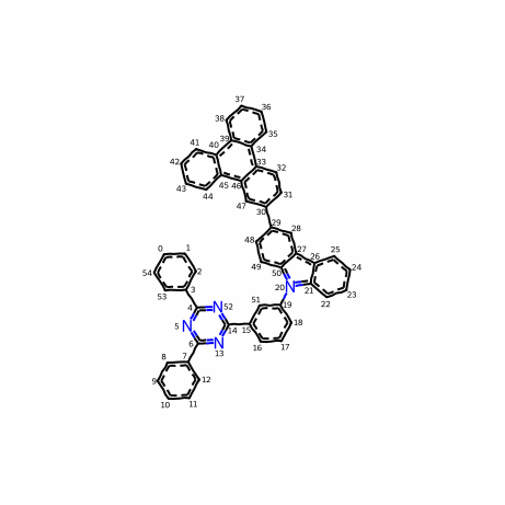 c1ccc(-c2nc(-c3ccccc3)nc(-c3cccc(-n4c5ccccc5c5cc(-c6ccc7c8ccccc8c8ccccc8c7c6)ccc54)c3)n2)cc1